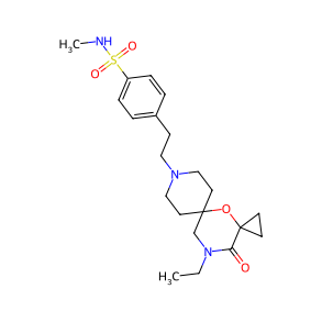 CCN1CC2(CCN(CCc3ccc(S(=O)(=O)NC)cc3)CC2)OC2(CC2)C1=O